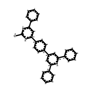 Clc1nc(-c2ccccc2)cc(-c2ccc(-c3cc(-c4ccccc4)nc(-c4ccccc4)c3)cc2)n1